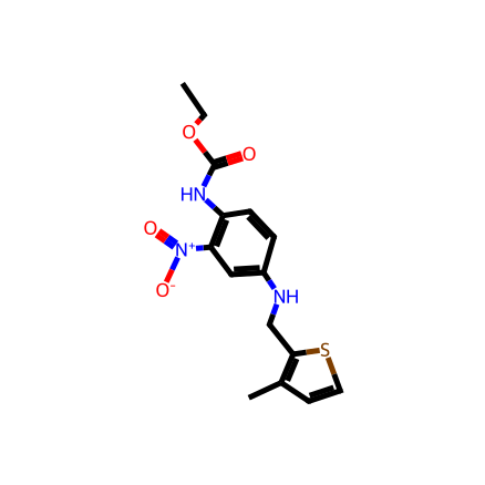 CCOC(=O)Nc1ccc(NCc2sccc2C)cc1[N+](=O)[O-]